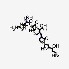 CNCCC(O)C1CC(N2CC/C(=C\C3=C(C(=O)O)N4C(=O)[C@@H](NC(=O)/C(=N\O)c5nsc(N)n5)[C@H]4SC3)C2=O)CN1